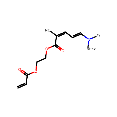 C=CC(=O)OCCOC(=O)/C(C#N)=C\C=C\N(CC)CCCCCC